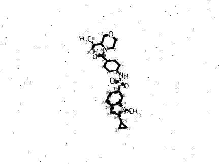 CC(C)C1COCCN1C(=O)C1CCC(NS(=O)(=O)c2ccc3cc(C4CC4)n(C)c3c2)CC1